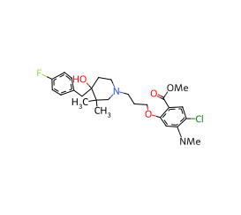 CNc1cc(OCCCN2CCC(O)(Cc3ccc(F)cc3)C(C)(C)C2)c(C(=O)OC)cc1Cl